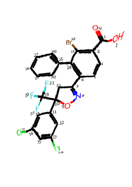 O=C(O)c1ccc(C2=NOC(c3cc(Cl)cc(Cl)c3)(C(F)(F)F)C2)c(-c2ccccc2)c1Br